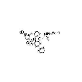 CCCCCNC(=O)CCOc1nc(-c2ncccn2)nc(NS(=O)(=O)c2ccc(C(C)(C)C)cc2)c1Oc1ccccc1OC